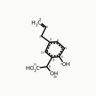 C=CCc1ccc(O)c(C(O)C(=O)O)c1